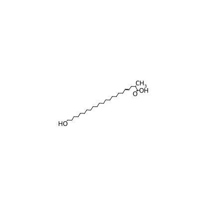 CC(C/C=C/CCCCCCCCCCCCCCCCCCO)C(=O)O